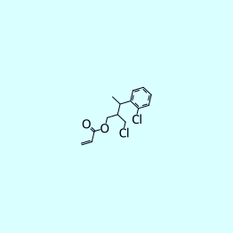 C=CC(=O)OCC(CCl)C(C)c1ccccc1Cl